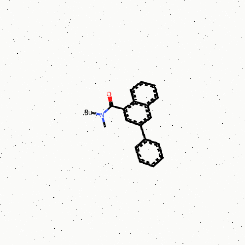 CCC(C)N(C)C(=O)c1cc(-c2ccccc2)cc2ccccc12